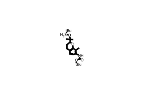 Cc1c(NC(=O)OC(C)(C)C)ccc2c1OC(C(C)(C)O[SiH2]C(C)(C)C)CC2